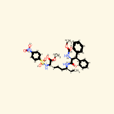 CC[C@@H](CCC[C@H](NS(=O)(=O)c1ccc([N+](=O)[O-])cc1)C(=O)OC)NC(=O)[C@@H](NC(=O)OC)C(c1ccccc1)c1ccccc1